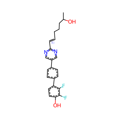 CC(O)CCC/C=C/c1ncc(-c2ccc(-c3ccc(O)c(F)c3F)cc2)cn1